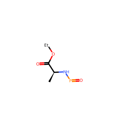 CCOC(=O)[C@H](C)NP=O